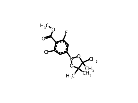 COC(=O)c1c(F)cc(B2OC(C)(C)C(C)(C)O2)cc1Cl